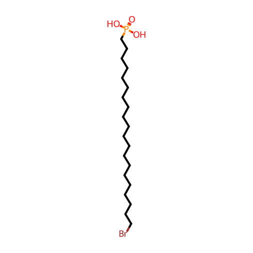 O=P(O)(O)CCCCCCCCCCCCCCCCCCCCBr